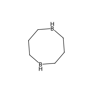 B1CCCBCCC1